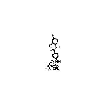 CC(C)(C)S(=O)(=O)Nc1ccc(C(=O)Nc2ccc(F)cc2F)cc1